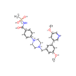 CCOc1cncc(-c2cc(CN3CCN(c4ccc(C(=O)NS(C)(=O)=O)cc4)CC3)cc(OCC)c2)c1